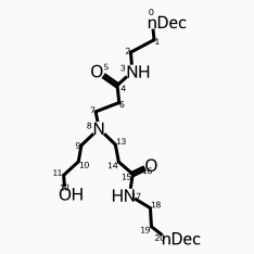 CCCCCCCCCCCCNC(=O)CCN(CCCO)CCC(=O)NCCCCCCCCCCCC